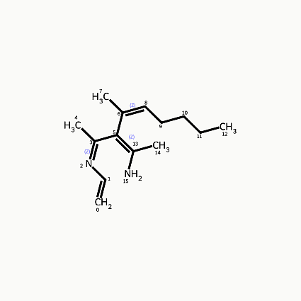 C=C\N=C(C)/C(C(/C)=C\CCCC)=C(/C)N